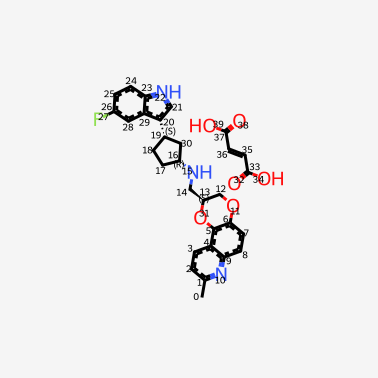 Cc1ccc2c3c(ccc2n1)OC[C@H](CN[C@@H]1CC[C@H](c2c[nH]c4ccc(F)cc24)C1)O3.O=C(O)C=CC(=O)O